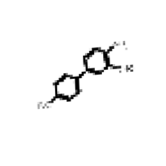 O=Cc1cc(-c2ccc(C(F)(F)F)cc2)ccc1[N+](=O)[O-]